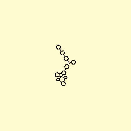 c1ccc(-c2ccc(-c3ccc(N(c4ccccc4)c4ccc(-c5ccc6c(c5)-c5ccccc5C65c6ccccc6-c6ccccc6-c6ccccc65)cc4)cc3)cc2)cc1